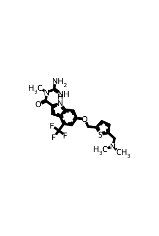 CN(C)Cc1ccc(COc2cc(C(F)(F)F)c3cc(C(=O)N(C)C(=N)N)[nH]c3c2)s1